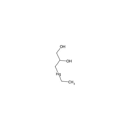 C[CH2][Hg][CH2]C(O)CO